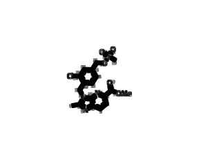 COC(=O)c1ccc2nc(C)n(Cc3ccc(COS(C)(=O)=O)cc3Cl)c2n1